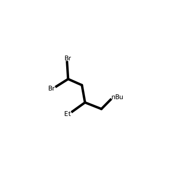 CCCCCC(CC)CC(Br)Br